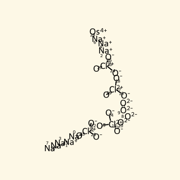 [Na+].[Na+].[Na+].[Na+].[Na+].[Na+].[Na+].[Na+].[O-2].[O-2].[O-2].[O-2].[O-][Cl+2]([O-])[O-].[O-][Cl+2]([O-])[O-].[O-][Cl+2]([O-])[O-].[O-][Cl+2]([O-])[O-].[Os+4]